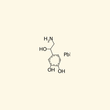 NCC(O)c1ccc(O)c(O)c1.[Pb]